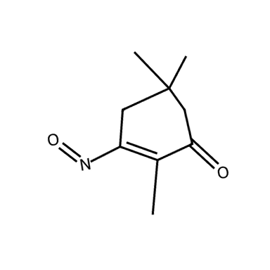 CC1=C(N=O)CC(C)(C)CC1=O